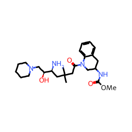 COC(=O)NC1Cc2ccccc2N(C(=O)CC(C)(C)C[C@H](N)[C@@H](O)CN2CCCCC2)C1